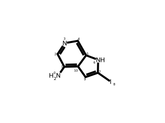 Nc1cncc2[nH]c(I)cc12